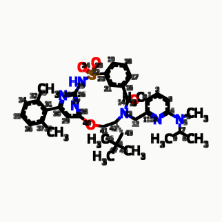 Cc1ccc(N(C)C(C)C)nc1CN1C(=O)c2cccc(c2)S(=O)(=O)Nc2nc(cc(-c3c(C)cccc3C)n2)OC[C@H]1CC(C)(C)C